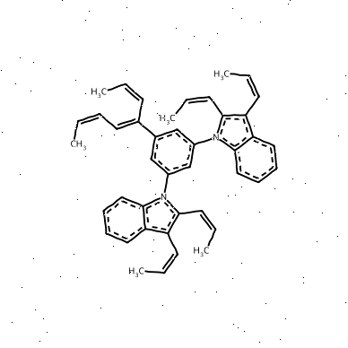 C\C=C/C=C(\C=C/C)c1cc(-n2c(/C=C\C)c(/C=C\C)c3ccccc32)cc(-n2c(/C=C\C)c(/C=C\C)c3ccccc32)c1